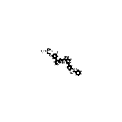 CN(C)CCOc1cc(F)cc(-c2ccnc3[nH]c(-c4n[nH]c5cnc(-c6cncc(NC(O)C7CCCCC7)c6)cc45)cc23)c1